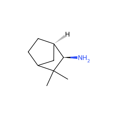 CC1(C)C2CC[C@H](C2)[C@H]1N